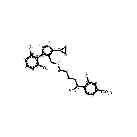 O=C(O)c1ccc(C(O)CCCCOCc2c(-c3c(Cl)cccc3Cl)noc2C2CC2)c(F)c1